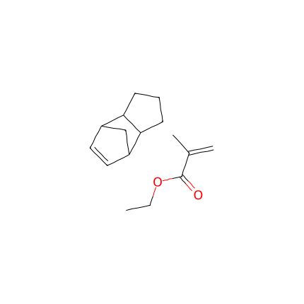 C1=CC2CC1C1CCCC21.C=C(C)C(=O)OCC